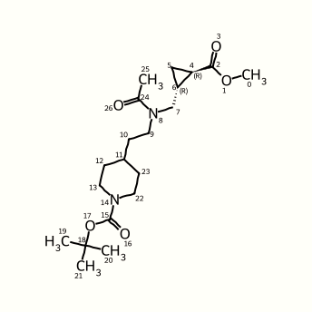 COC(=O)[C@@H]1C[C@H]1CN(CCC1CCN(C(=O)OC(C)(C)C)CC1)C(C)=O